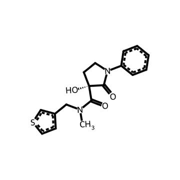 CN(Cc1ccsc1)C(=O)[C@@]1(O)CCN(c2ccccc2)C1=O